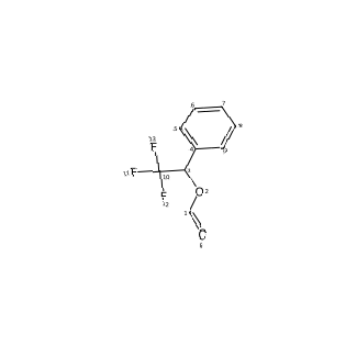 O=COC(c1ccccc1)C(F)(F)F